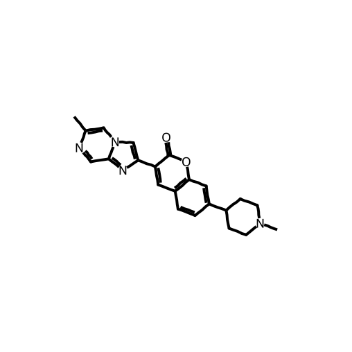 Cc1cn2cc(-c3cc4ccc(C5CCN(C)CC5)cc4oc3=O)nc2cn1